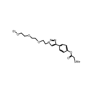 CCOCCOCCOCCn1cc(-c2ccc(OC(=O)CSC)cc2)nn1